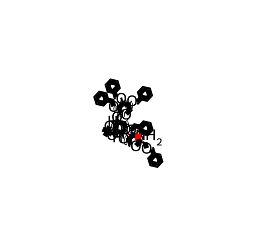 C[C@@H]1O[C@@H](O[C@@H]2[CH]O[C@H](COCc3ccccc3)[C@H](N)[C@@H]2OCc2ccccc2)[C@@H]2OC(C)(C)O[C@@H]2[C@H]1O[C@@H]1OC[C@@H](OCc2ccccc2)[C@H](OCc2ccccc2)[C@H]1OCc1ccccc1